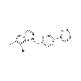 Cc1sc2ccn(Cc3ccc(-c4cccnc4)cc3)c2c1Br